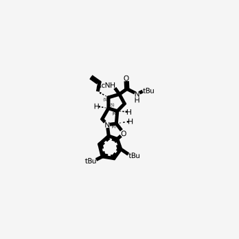 C=CC[C@H]1[C@@H]2CN3c4cc(C(C)(C)C)cc(C(C)(C)C)c4O[C@@H]3[C@@H]2CC1(NC(C)=O)C(=O)NC(C)(C)C